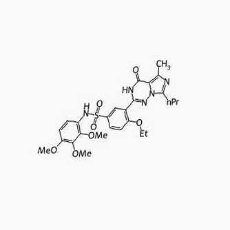 CCCc1nc(C)c2c(=O)[nH]c(-c3cc(S(=O)(=O)Nc4ccc(OC)c(OC)c4OC)ccc3OCC)nn12